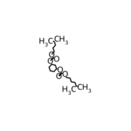 CC(C)CCCCOC(=O)OC1CCCC(OC(=O)OCCCC(C)C)C1